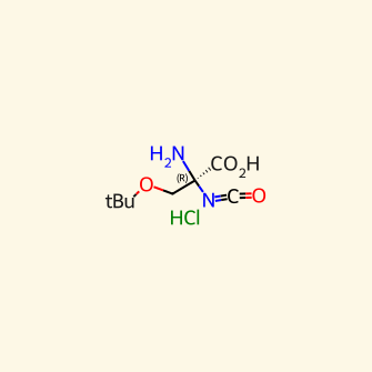 CC(C)(C)OC[C@@](N)(N=C=O)C(=O)O.Cl